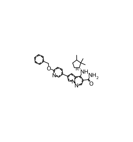 CC1CC[C@@H](Nc2c(C(N)=O)cnn3cc(-c4ccc(OCc5ccccc5)nc4)cc23)C1(C)C